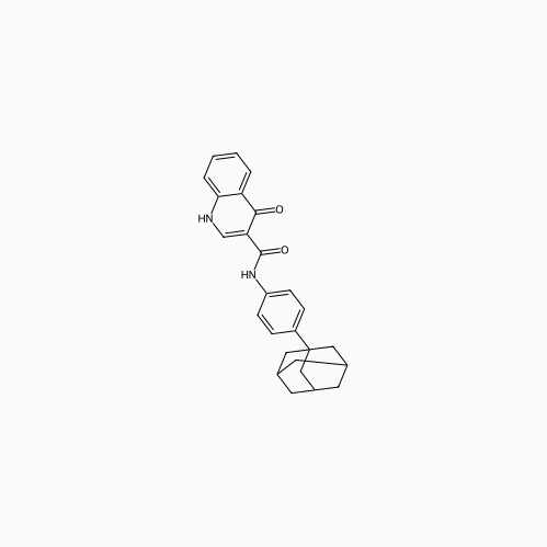 O=C(Nc1ccc(C23CC4CC(CC(C4)C2)C3)cc1)c1c[nH]c2ccccc2c1=O